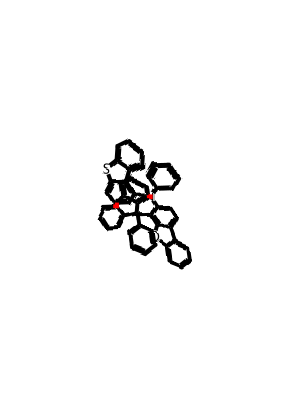 c1ccc(N(c2ccc3c(oc4ccccc43)c2C2(c3ccccc3)c3ccccc3-c3ccccc32)c2cccc3sc4ccccc4c23)cc1